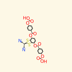 N#CC(C#N)=C1Sc2c(OC(=O)c3ccc(OC(=O)O)cc3)ccc(OC(=O)c3ccc(OC(=O)O)cc3)c2S1